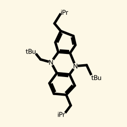 CC(C)Cc1ccc2c(c1)N(CC(C)(C)C)c1ccc(CC(C)C)cc1N2CC(C)(C)C